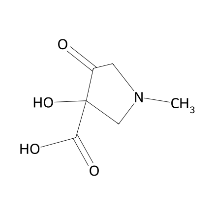 CN1CC(=O)C(O)(C(=O)O)C1